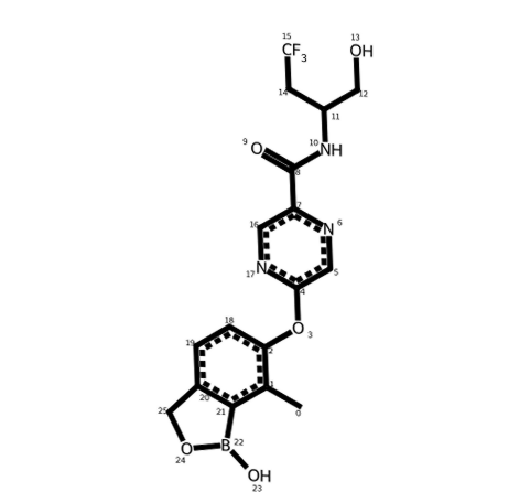 Cc1c(Oc2cnc(C(=O)NC(CO)CC(F)(F)F)cn2)ccc2c1B(O)OC2